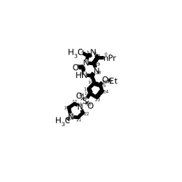 CCCc1nc(C)n2c(=O)[nH]c(-c3cc(S(=O)(=O)N4CCN(C)CC4)ccc3OCC)nc12